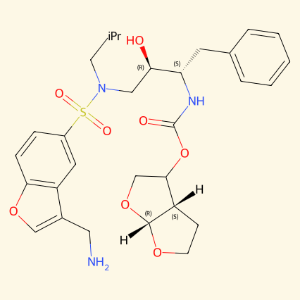 CC(C)CN(C[C@@H](O)[C@H](Cc1ccccc1)NC(=O)OC1CO[C@H]2OCC[C@@H]12)S(=O)(=O)c1ccc2occ(CN)c2c1